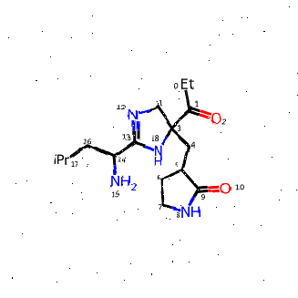 CCC(=O)C1(CC2CCNC2=O)CN=C(C(N)CC(C)C)N1